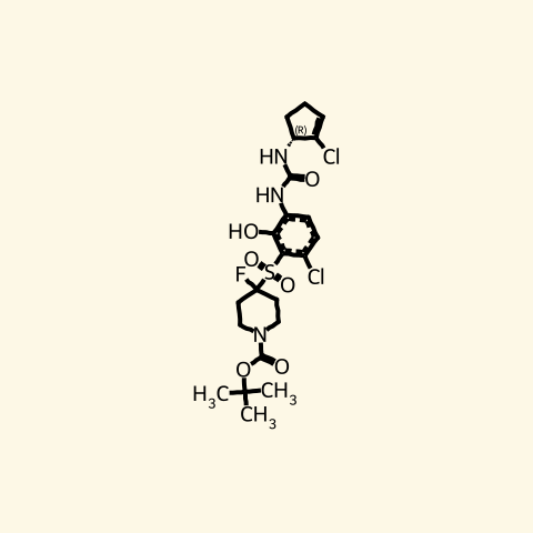 CC(C)(C)OC(=O)N1CCC(F)(S(=O)(=O)c2c(Cl)ccc(NC(=O)N[C@@H]3CCC=C3Cl)c2O)CC1